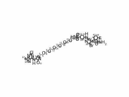 COc1nn(CCOCCOCCOCCOCCOCCOCCNS(=O)(=O)c2ccc(Nc3ncc(Br)c(Nc4cccc(F)c4C(N)=O)n3)cc2)cc1Nc1nc(Cl)nc2c1ncn2C